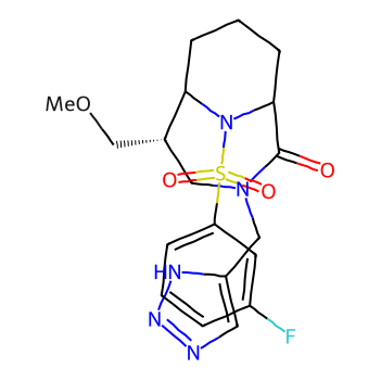 COC[C@H]1CN(Cc2cnn[nH]2)C(=O)C2CCCC1N2S(=O)(=O)c1cccc(F)c1